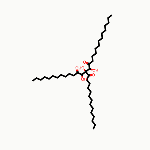 CCCCCCCCCCCCCC(=O)C(O)C(O)(C(=O)CCCCCCCCCCCCC)C(O)C(=O)CCCCCCCCCCC